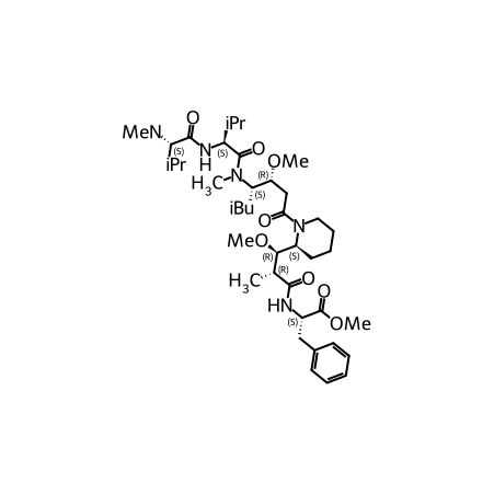 CCC(C)[C@@H]([C@@H](CC(=O)N1CCCC[C@H]1[C@H](OC)[C@@H](C)C(=O)N[C@@H](Cc1ccccc1)C(=O)OC)OC)N(C)C(=O)[C@@H](NC(=O)[C@@H](NC)C(C)C)C(C)C